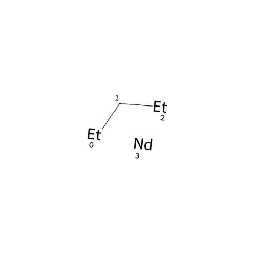 [CH2]CCCC.[Nd]